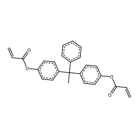 C=CC(=O)Oc1ccc(C(C)(c2ccccc2)c2ccc(OC(=O)C=C)cc2)cc1